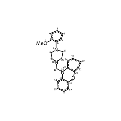 COc1ccccc1N1CCN(CN2c3ccccc3Oc3ccccc32)CC1